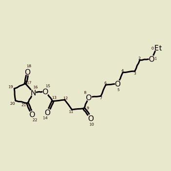 CCOCCCOCCOC(=O)CCC(=O)ON1C(=O)CCC1=O